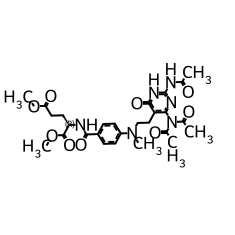 COC(=O)CC[C@@H](NC(=O)c1ccc(N(C)CCc2c(N(C(C)=O)C(C)=O)nc(NC(C)=O)[nH]c2=O)cc1)C(=O)OC